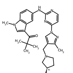 Cc1nn(-c2ccnc(Nc3ccc4c(c3)c(C(=O)C(C)(C)C)cn4C)n2)cc1CN1CC[C@@H](O)C1